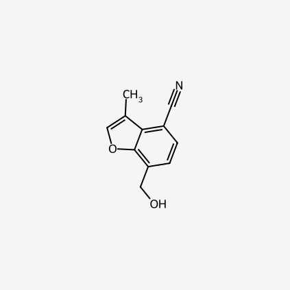 Cc1coc2c(CO)ccc(C#N)c12